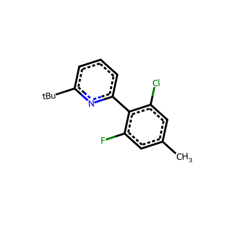 Cc1cc(F)c(-c2cccc(C(C)(C)C)n2)c(Cl)c1